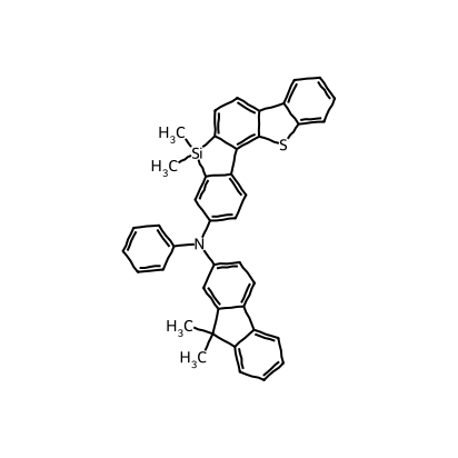 CC1(C)c2ccccc2-c2ccc(N(c3ccccc3)c3ccc4c(c3)[Si](C)(C)c3ccc5c(sc6ccccc65)c3-4)cc21